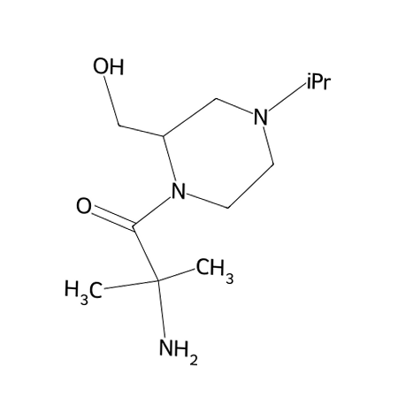 CC(C)N1CCN(C(=O)C(C)(C)N)C(CO)C1